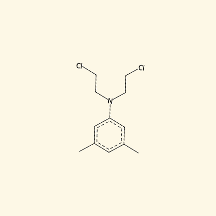 Cc1cc(C)cc(N(CCCl)CCCl)c1